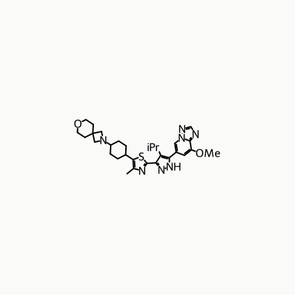 COc1cc(-c2[nH]nc(-c3nc(C)c(C4CCC(N5CC6(CCOCC6)C5)CC4)s3)c2C(C)C)cn2ncnc12